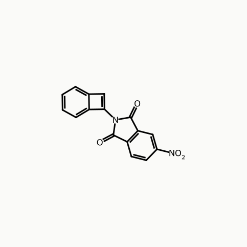 O=C1c2ccc([N+](=O)[O-])cc2C(=O)N1C1=Cc2ccccc21